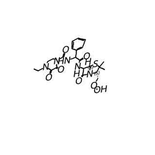 CCN1CCN(C(=O)NC(C(=O)NC2C(=O)N3[C@@H]2SC(C)(C)[C@@H]3COO)c2ccccc2)C(=O)C1=O